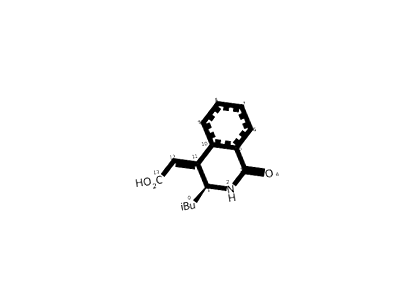 CCC(C)[C@@H]1NC(=O)c2ccccc2C1=CC(=O)O